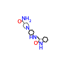 NC(=O)C1CCN(c2ccc(NC=C3C(=O)Nc4ccccc43)cc2)CC1